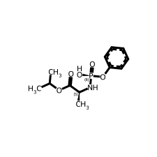 CC(C)OC(=O)[C@H](C)N[P@@](=O)(O)Oc1ccccc1